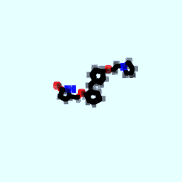 O=C1CCC(COc2ccc[c]c2Cc2ccc(OCCN3CCCC3)cc2)N1